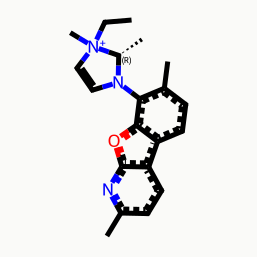 CC[N+]1(C)C=CN(c2c(C)ccc3c2oc2nc(C)ccc23)[C@H]1C